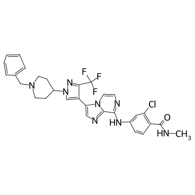 CNC(=O)c1ccc(Nc2nccn3c(-c4cn(C5CCN(Cc6ccccc6)CC5)nc4C(F)(F)F)cnc23)cc1Cl